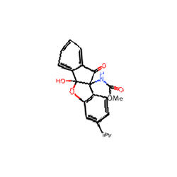 COC(=O)NC12C(=O)c3ccccc3C1(O)Oc1cc(C(C)C)ccc12